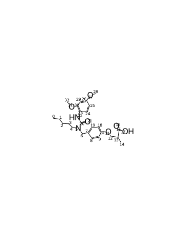 CCCCCN(Cc1ccc(OCC(C)C(=O)O)cc1)C(=O)Nc1ccc(OC)cc1OC